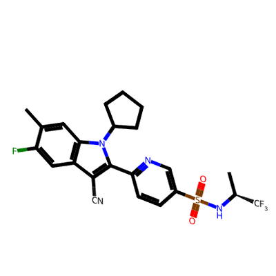 Cc1cc2c(cc1F)c(C#N)c(-c1ccc(S(=O)(=O)N[C@@H](C)C(F)(F)F)cn1)n2C1CCCC1